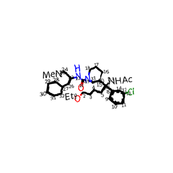 CCOCCCC[C@@](NC(C)=O)(c1cccc(Cl)c1)[C@@H]1CCCN(C(=O)NC(CNC)CC2CCCCC2)C1